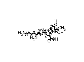 CC(O)C(NS(=O)(=O)N[C@@H](CCC(=O)O)c1nnc([C@@H](N)CCCCN)o1)C(=O)O